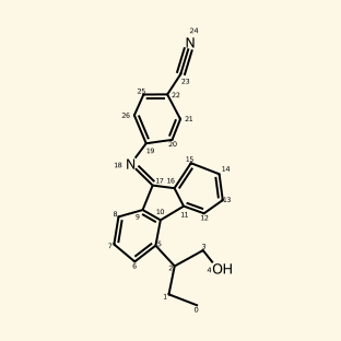 CCC(CO)c1cccc2c1-c1ccccc1C2=Nc1ccc(C#N)cc1